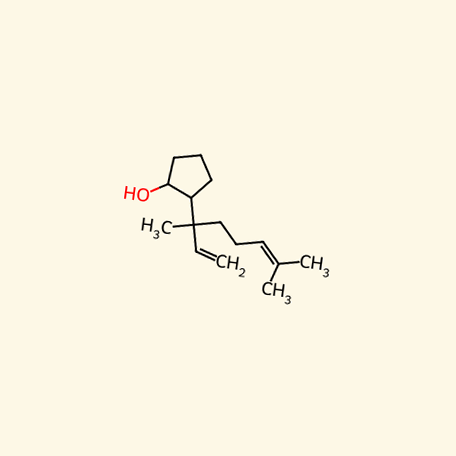 C=CC(C)(CCC=C(C)C)C1CCCC1O